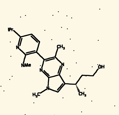 CNc1nc(C(C)C)ccc1-c1nc2c(nc1C)c([C@@H](C)CCO)cn2C